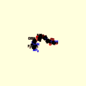 CNC(=O)C1(CC2(COc3cc4c(N[C@H](C)c5cc(N)cc(C(F)(F)F)c5)nc(C)nc4cc3OC)CC2)CCC(OC2CCN(c3ccc4c(c3)C(=O)N(C3CCC(=O)NC3=O)C4=O)CC2)CC1